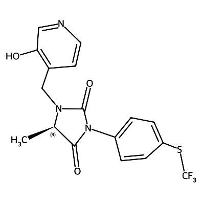 C[C@@H]1C(=O)N(c2ccc(SC(F)(F)F)cc2)C(=O)N1Cc1ccncc1O